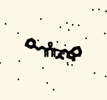 CN(C)[C@H](CNC(=O)NCCc1ccccc1)Cc1csc2ccccc12